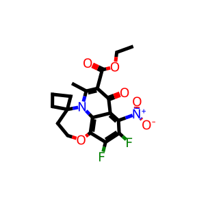 CCOC(=O)c1c(C)n2c3c(c(F)c(F)c([N+](=O)[O-])c3c1=O)OCCC21CCC1